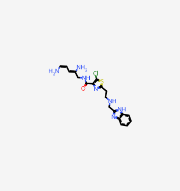 N/C=C\C=C(/N)CNC(=O)c1nc(CCNCc2nc3ccccc3[nH]2)sc1Cl